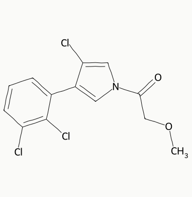 COCC(=O)n1cc(Cl)c(-c2cccc(Cl)c2Cl)c1